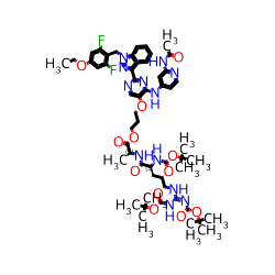 CCOc1cc(F)c(Cn2nc(-c3ncc(OCCCOC(=O)[C@H](C)NC(=O)[C@H](CCCN/C(=N/C(=O)OC(C)(C)C)NC(=O)OC(C)(C)C)NC(=O)OC(C)(C)C)c(Nc4ccnc(NC(C)=O)c4)n3)c3ccccc32)c(F)c1